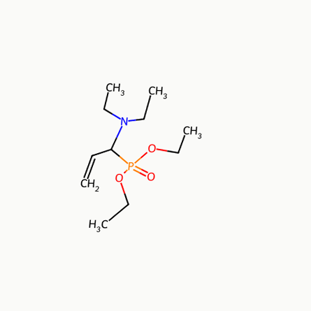 C=CC(N(CC)CC)P(=O)(OCC)OCC